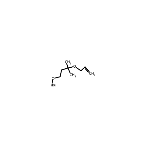 C=CCOC(C)(C)CCOC(C)CC